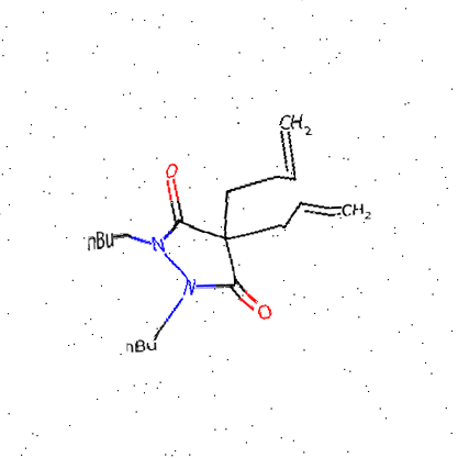 C=CCC1(CC=C)C(=O)N(CCCC)N(CCCC)C1=O